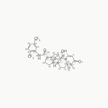 CN1C(=O)C=C[C@]2(C)[C@@H]3[C@@H](CC[C@@H]12)[C@@H]1CC[C@H](C(=O)Nc2cc(C(F)(F)F)ccc2C(F)(F)F)[C@@]1(C)C[C@@H]3O